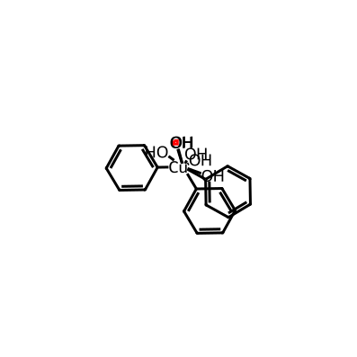 [OH][Cu]([OH])([OH])([OH])([OH])([OH])([c]1ccccc1)([c]1ccccc1)[c]1ccccc1